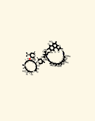 CC[C@H]1OC(=O)[C@H](C)[C@@H](O[C@H]2C[C@@](C)(OC)[C@@H](OC(=O)NCCNC3=C4NC(=O)/C(C)=C\C=C\[C@H](C)[C@H](O)[C@@H](C)[C@@H](O)[C@@H](C)[C@H](OC(C)=O)[C@H](C)[C@@H](OC)/C=C/O[C@@]5(C)Oc6c(C)c(O)c(c(c6C5=O)C3=O)C4=O)[C@H](C)O2)[C@H](C)[C@@H](O[C@@H]2O[C@H](C)C[C@H](N(C)C)[C@H]2O)[C@](C)(O)C[C@@H](C)CN(C)[C@H](C)[C@@H](O)[C@]1(C)O